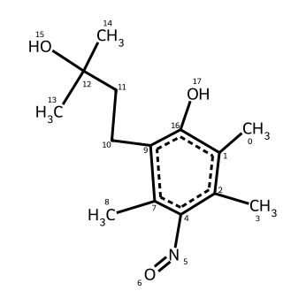 Cc1c(C)c(N=O)c(C)c(CCC(C)(C)O)c1O